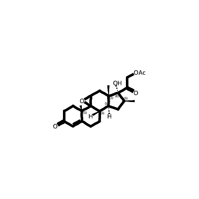 CC(=O)OCC(=O)[C@@]1(O)[C@@H](C)C[C@H]2[C@@H]3CCC4=CC(=O)CC[C@]4(C)C34OC4C[C@@]21C